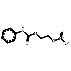 O=C(Nc1ccccc1)OCCO[N+](=O)[O-]